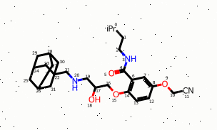 CC(C)CCNC(=O)c1cc(OCC#N)ccc1OCC(O)CNCC12CC3CC(CC(C3)C1)C2